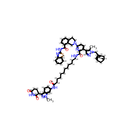 Cc1c(-c2ccc(N3CCc4cccc(C(=O)Nc5nc6ccccc6s5)c4C3)nc2C(=O)NCCCCCCCCCCCC(=O)Nc2ccc3c(C4CCC(=O)NC4=O)nn(C)c3c2)cnn1CC12CC3CC(CC1C3)C2